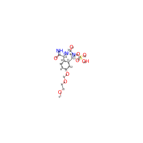 COCCOCOc1ccc2c(c1)C1CN(C(=O)N1OS(=O)(=O)O)C2C(N)=O